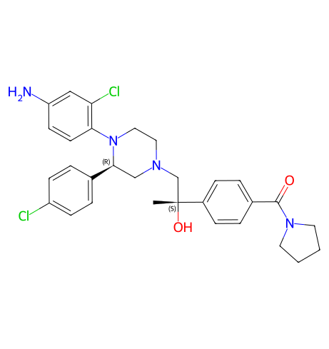 C[C@@](O)(CN1CCN(c2ccc(N)cc2Cl)[C@H](c2ccc(Cl)cc2)C1)c1ccc(C(=O)N2CCCC2)cc1